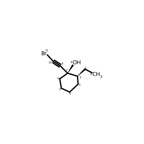 CC[C@H]1CCCC[C@]1(O)C#CBr